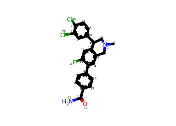 CN1Cc2cc(-c3ccc(C(N)=O)cc3)c(F)cc2C(c2ccc(Cl)c(Cl)c2)C1